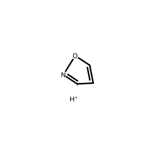 [H+].[c]1ccon1